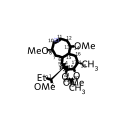 CCC(OC)[C@H]1CC2C3C[C@@H](OC)/C=C\CC(OC)C3C[C@@H](C)C3OC(C)OC23[C@H]1OC